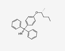 CCC[C@@H](C)Oc1ccc(P(=N)(c2ccccc2)c2ccccc2)cc1